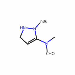 CCCCN1NCC=C1N(C)C=O